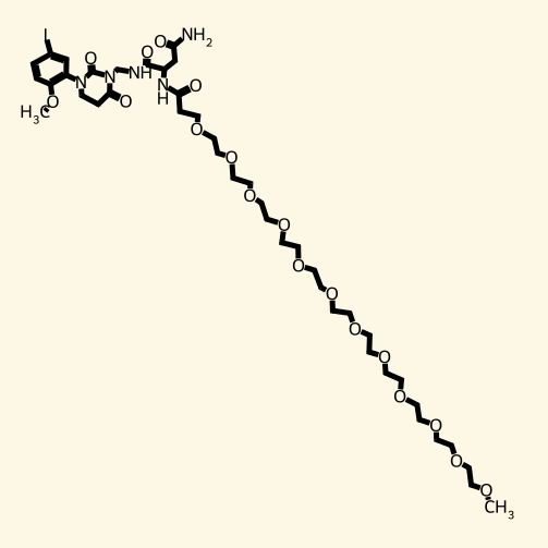 COCCOCCOCCOCCOCCOCCOCCOCCOCCOCCOCCOCCC(=O)NC(CC(N)=O)C(=O)NCN1C(=O)CCN(c2cc(I)ccc2OC)C1=O